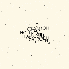 C#Cc1ccc(CNC(=O)[C@@H]2C[C@@H](O)CN2C(=O)[C@@H](NC(=O)OC(C)(C)C)C(C)(C)C)c(OCCCN(C)C)c1